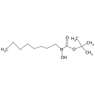 CCCCCCCCN(O)C(=O)OC(C)(C)C